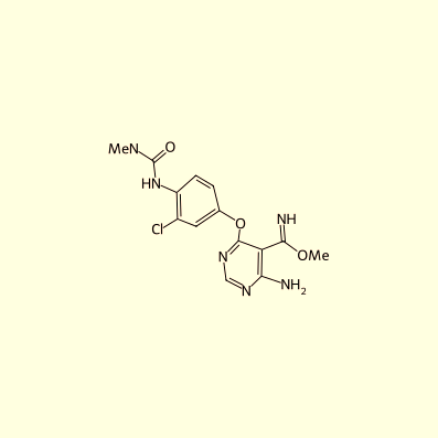 CNC(=O)Nc1ccc(Oc2ncnc(N)c2C(=N)OC)cc1Cl